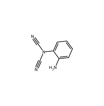 N#CN(C#N)c1ccccc1N